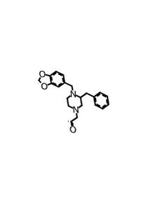 O=[C]CN1CCN(Cc2ccc3c(c2)OCO3)C(Cc2ccccc2)C1